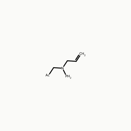 C=CCN(P)CC(C)=O